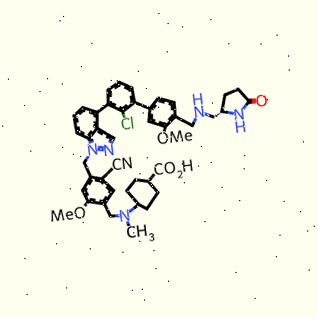 COc1cc(-c2cccc(-c3cccc4c3cnn4Cc3cc(OC)c(CN(C)C4CCC(C(=O)O)CC4)cc3C#N)c2Cl)ccc1CNC[C@@H]1CCC(=O)N1